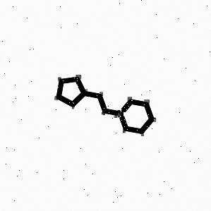 C1CCN(CCC2CCCC2)CC1